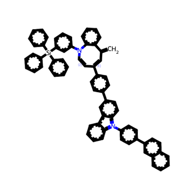 C=C1/C=C(c2ccc(-c3ccc4c(c3)c3ccccc3n4-c3ccc(-c4ccc5ccccc5c4)cc3)cc2)\C=C/N(c2cccc([Si](c3ccccc3)(c3ccccc3)c3ccccc3)c2)c2ccccc21